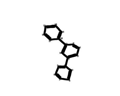 [c]1ccc(-c2ccccc2)cc1-c1ccccc1